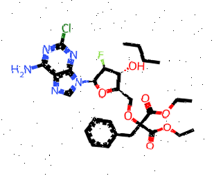 CCCC.CCOC(=O)C(Cc1ccccc1)(OC[C@H]1O[C@@H](n2cnc3c(N)nc(Cl)nc32)[C@@H](F)[C@@H]1O)C(=O)OCC